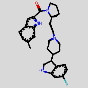 Cc1ccc2cc(C(=O)N3CCC[C@H]3CCN3CCC(C4CNc5cc(F)ccc54)CC3)[nH]c2c1